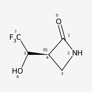 O=C1NC[C@H]1C(O)C(F)(F)F